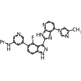 Cc1cn(-c2ccnc3[nH]c(-c4n[nH]c5ccc(-c6cncc(NC(C)C)c6)c(F)c45)nc23)cn1